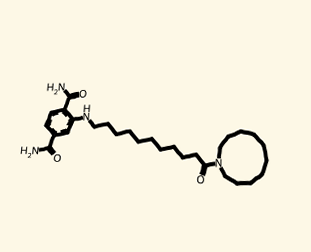 NC(=O)c1ccc(C(N)=O)c(NCCCCCCCCCCC(=O)N2CCCCCCCCCC2)c1